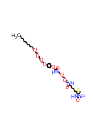 [CH2]CCCCCCCCCCOCCOCCOCCOc1ccc(OCC(=O)NCCOCCOCCNC(=O)CCCCC2SCC3NC(=O)NC32)cc1